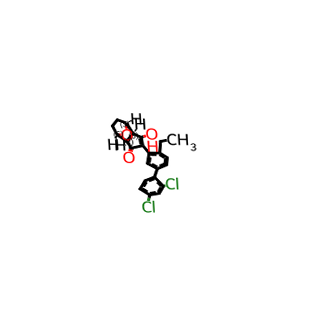 CCc1ccc(-c2ccc(Cl)cc2Cl)cc1C1=C(O)[C@H]2[C@@H](C1=O)[C@@H]1CC[C@@H]2O1